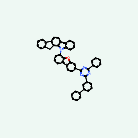 c1ccc(-c2cccc(-c3nc(-c4ccccc4)nc(-c4ccc5c(c4)oc4c(-n6c7ccccc7c7ccc8c(c76)Cc6ccccc6-8)cccc45)n3)c2)cc1